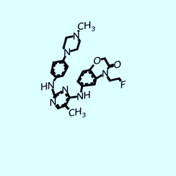 Cc1cnc(Nc2ccc(N3CCN(C)CC3)cc2)nc1Nc1ccc2c(c1)N(CCF)C(=O)CO2